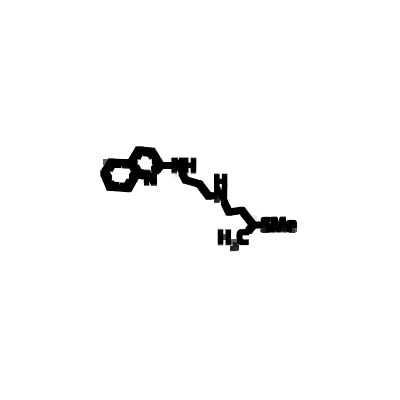 CSC(C)CCNCCCNc1ccc2[c]cccc2n1